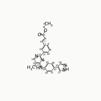 CCOC(=O)/C=C/c1cccc(-c2ncc(C)c(Nc3ccc(-c4cn[nH]c4)cc3)n2)c1